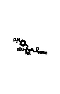 CCCCc1nnc(SCC(=O)NC)n1Cc1ccc([N+](=O)[O-])cc1